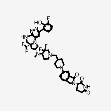 CN(C1CCN(CC2CCN(c3ccc4c(c3)C(=O)N([C@H]3CCC(=O)NC3=O)C4)CC2)CC1(F)F)[C@H]1CN2c3cc(-c4cccc(F)c4O)nnc3NC[C@]2(C(F)F)C1